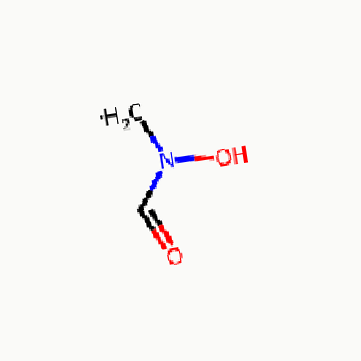 [CH2]N(O)C=O